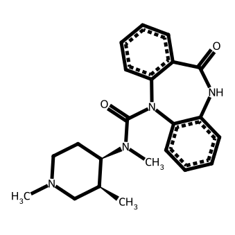 C[C@H]1CN(C)CC[C@H]1N(C)C(=O)N1c2ccccc2NC(=O)c2ccccc21